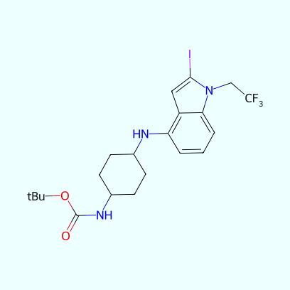 CC(C)(C)OC(=O)NC1CCC(Nc2cccc3c2cc(I)n3CC(F)(F)F)CC1